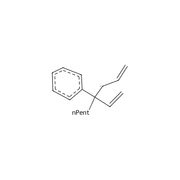 C=C[CH]C(C=C)(CCCCC)c1ccccc1